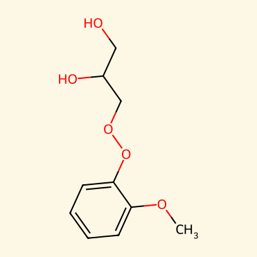 COc1ccccc1OOCC(O)CO